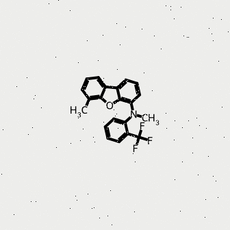 Cc1cccc2c1oc1c(N(C)c3ccccc3C(F)(F)F)cccc12